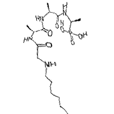 CCCCCCNCC(=O)N[C@@H](C)C(=O)N[C@@H](C)C(=O)N[C@@H](C)P(=O)(O)O